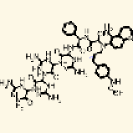 N=C(N)NC(NC(=O)C(NC(=N)N)NC(=O)C(NC(=N)N)NC(=O)C(NC(=N)N)NC(=O)C(NC(=O)C(O)N(C/C=C\c1ccc(NOO)cc1)c1ccc2ncccc2c1N)c1ccccc1)C(N)=O